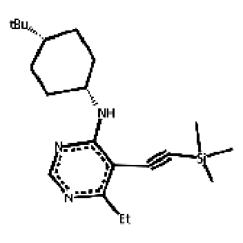 CCc1ncnc(N[C@H]2CC[C@@H](C(C)(C)C)CC2)c1C#C[Si](C)(C)C